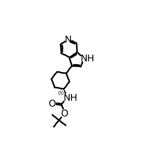 CC(C)(C)OC(=O)N[C@H]1CCCC(c2c[nH]c3cnccc23)C1